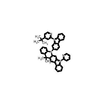 CC(C)(C)c1ccnc(-n2c3ccccc3c3ccc(N4c5ccccc5C(C)(C)c5cc6c7ccccc7n(-c7ccccn7)c6cc54)cc32)c1